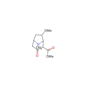 COC(=O)C1C(=O)CC2CC(OC)C1N2C